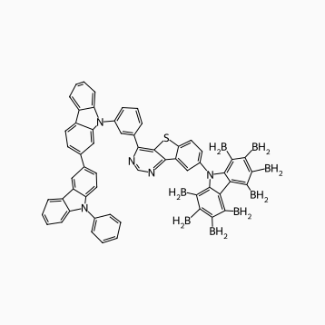 Bc1c(B)c(B)c2c(c1B)c1c(B)c(B)c(B)c(B)c1n2-c1ccc2sc3c(-c4cccc(-n5c6ccccc6c6ccc(-c7ccc8c(c7)c7ccccc7n8-c7ccccc7)cc65)c4)ncnc3c2c1